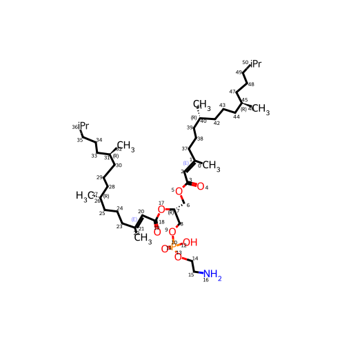 C/C(=C\C(=O)OC[C@H](COP(=O)(O)OCCN)OC(=O)/C=C(\C)CCC[C@H](C)CCC[C@H](C)CCCC(C)C)CCC[C@H](C)CCC[C@H](C)CCCC(C)C